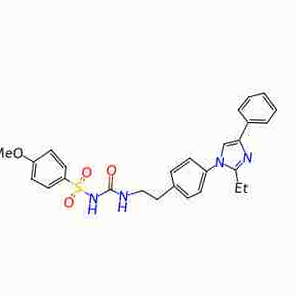 CCc1nc(-c2ccccc2)cn1-c1ccc(CCNC(=O)NS(=O)(=O)c2ccc(OC)cc2)cc1